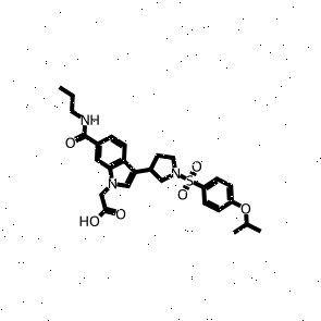 CCCNC(=O)c1ccc2c(C3CCN(S(=O)(=O)c4ccc(OC(C)C)cc4)C3)cn(CC(=O)O)c2c1